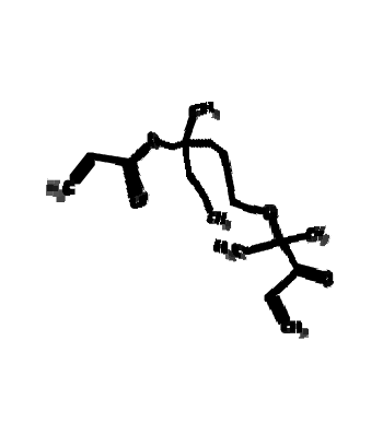 C=CC(=O)OC(C)(CC)CCOC(C)(C)C(=O)C=C